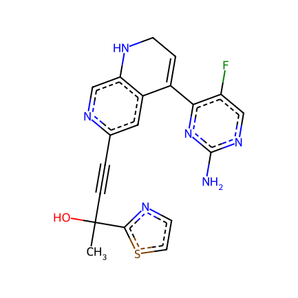 CC(O)(C#Cc1cc2c(cn1)NCC=C2c1nc(N)ncc1F)c1nccs1